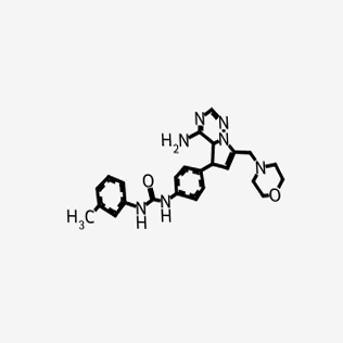 Cc1cccc(NC(=O)Nc2ccc(C3C=C(CN4CCOCC4)N4N=CN=C(N)C34)cc2)c1